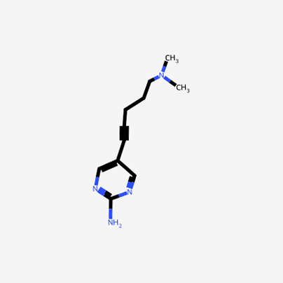 CN(C)CCCC#Cc1cnc(N)nc1